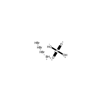 B.Br.Br.Br.O=S(=O)(O)O